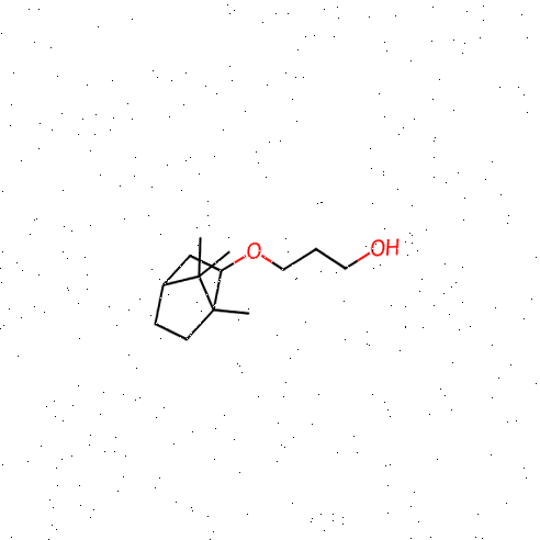 CC1(C)C2CCC1(C)C(OCCCO)C2